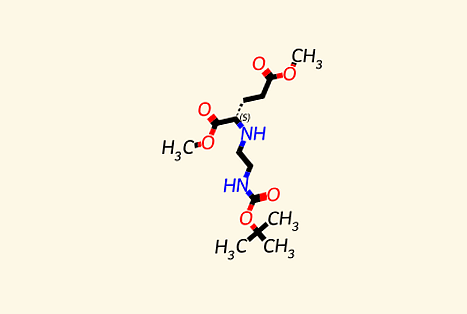 COC(=O)CC[C@H](NCCNC(=O)OC(C)(C)C)C(=O)OC